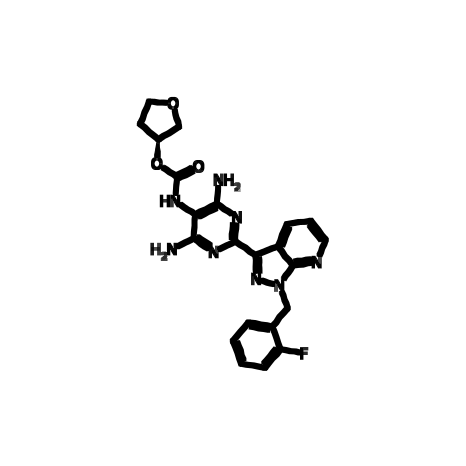 Nc1nc(-c2nn(Cc3ccccc3F)c3ncccc23)nc(N)c1NC(=O)O[C@H]1CCOC1